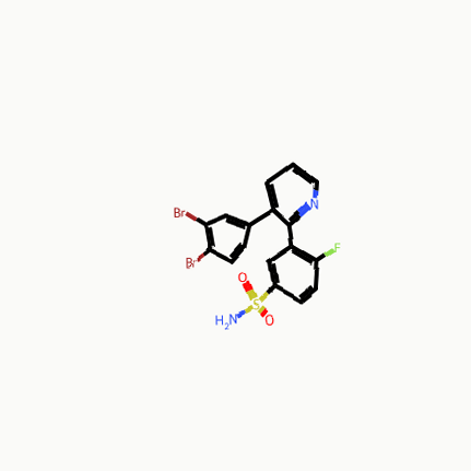 NS(=O)(=O)c1ccc(F)c(-c2ncccc2-c2ccc(Br)c(Br)c2)c1